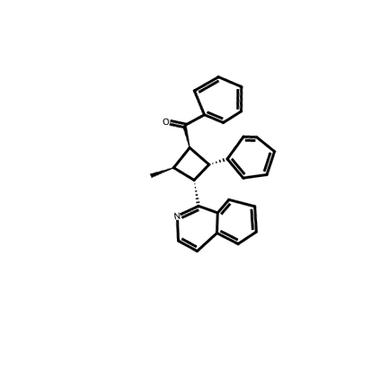 C[C@H]1[C@@H](C(=O)c2ccccc2)[C@H](c2ccccc2)[C@@H]1c1nccc2ccccc12